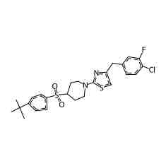 CC(C)(C)c1ccc(S(=O)(=O)C2CCN(c3nc(Cc4ccc(Cl)c(F)c4)cs3)CC2)cc1